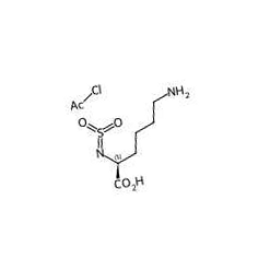 CC(=O)Cl.NCCCC[C@H](N=S(=O)=O)C(=O)O